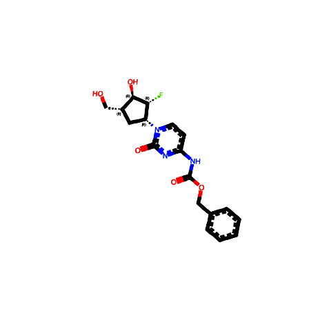 O=C(Nc1ccn([C@@H]2C[C@H](CO)[C@@H](O)[C@@H]2F)c(=O)n1)OCc1ccccc1